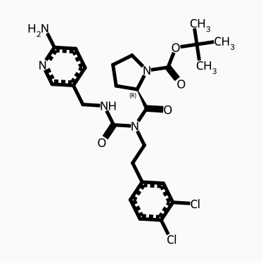 CC(C)(C)OC(=O)N1CCC[C@@H]1C(=O)N(CCc1ccc(Cl)c(Cl)c1)C(=O)NCc1ccc(N)nc1